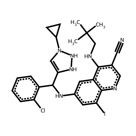 CC(C)(C)CNc1c(C#N)cnc2c(I)cc(NC(C3=CN(C4CC4)NN3)c3ccccc3Cl)cc12